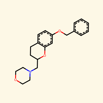 c1ccc(COc2ccc3c(c2)OC(CN2CCOCC2)CC3)cc1